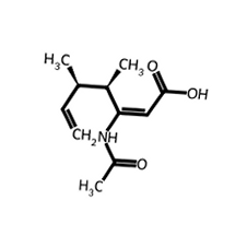 C=C[C@@H](C)[C@@H](C)C(=CC(=O)O)NC(C)=O